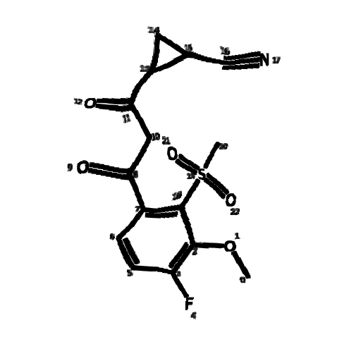 COc1c(F)ccc(C(=O)CC(=O)C2CC2C#N)c1S(C)(=O)=O